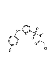 CN(C(=O)CCl)S(=O)(=O)c1ccc(Sc2ccc(Br)cc2)s1